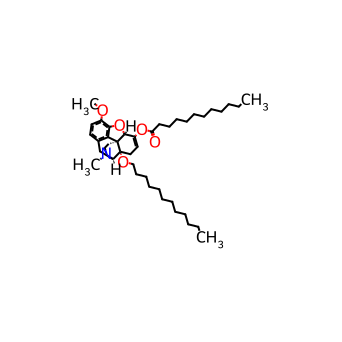 CCCCCCCCCCCCO[C@@]12CC=C(OC(=O)CCCCCCCCCCC)[C@@H]3Oc4c(OC)ccc5c4[C@@]31CCN(C)[C@@H]2C5